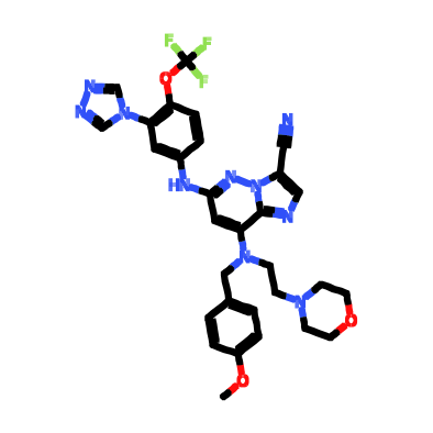 COc1ccc(CN(CCN2CCOCC2)c2cc(Nc3ccc(OC(F)(F)F)c(-n4cnnc4)c3)nn3c(C#N)cnc23)cc1